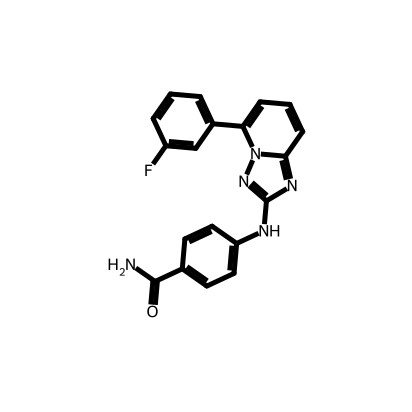 NC(=O)c1ccc(Nc2nc3cccc(-c4cccc(F)c4)n3n2)cc1